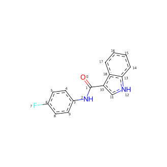 O=C(Nc1ccc(F)cc1)c1c[nH]c2ccccc12